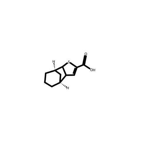 O=C(O)C1=CC2C(S1)[C@@H]1CCC[C@H]2C1